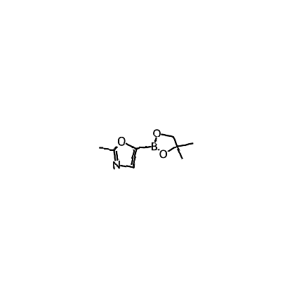 Cc1ncc(B2OCC(C)(C)O2)o1